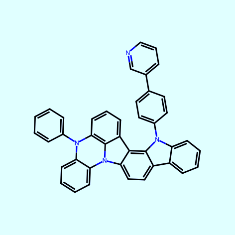 c1ccc(N2c3ccccc3-n3c4ccc5c6ccccc6n(-c6ccc(-c7cccnc7)cc6)c5c4c4cccc2c43)cc1